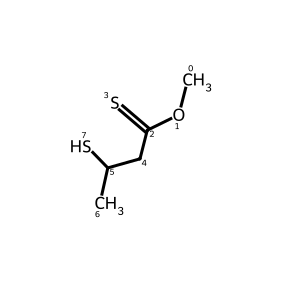 COC(=S)CC(C)S